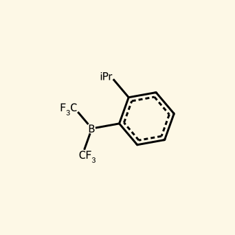 CC(C)c1ccccc1B(C(F)(F)F)C(F)(F)F